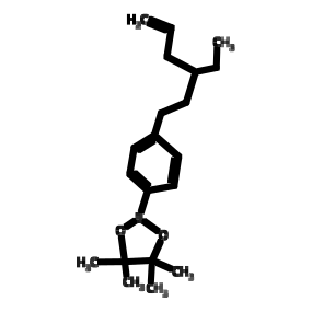 C=CCC(CC)CCc1ccc(B2OC(C)(C)C(C)(C)O2)cc1